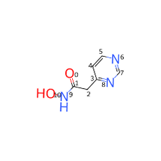 O=C(Cc1ccncn1)NO